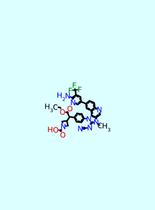 CCOC(=O)C(c1ccc(-n2c(=NC#N)n(C)c3cnc4ccc(-c5cnc(N)c(C(F)(F)F)c5)cc4c32)cc1)C1CN(C(=O)O)C1